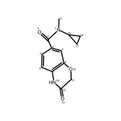 CN(C(=O)c1ccc2c(c1)OCC(=O)N2)C1CC1